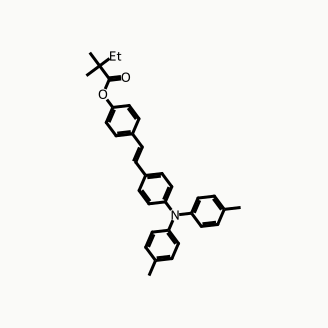 CCC(C)(C)C(=O)Oc1ccc(/C=C/c2ccc(N(c3ccc(C)cc3)c3ccc(C)cc3)cc2)cc1